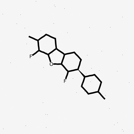 CC1CCC([C@@H]2CCC3C4CCC(C)C(F)C4OC3C2F)CC1